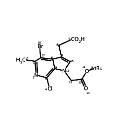 Cc1nc(Cl)c2c(c(CC(=O)O)cn2CC(=O)OC(C)(C)C)c1Br